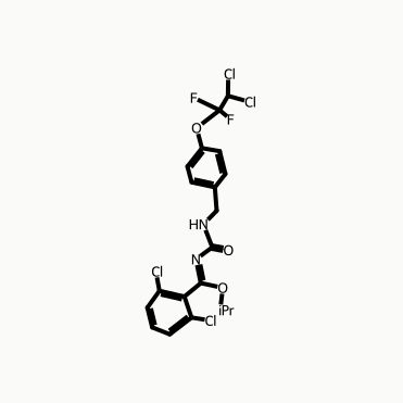 CC(C)OC(=NC(=O)NCc1ccc(OC(F)(F)C(Cl)Cl)cc1)c1c(Cl)cccc1Cl